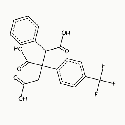 O=C(O)CC(C(=O)O)(c1ccc(C(F)(F)F)cc1)C(C(=O)O)c1ccccc1